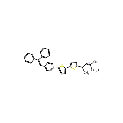 CC(/C=C(/C#N)C(=O)O)c1ccc(-c2ccc(-c3ccc(C=C(c4ccccc4)c4ccccc4)cc3)s2)s1